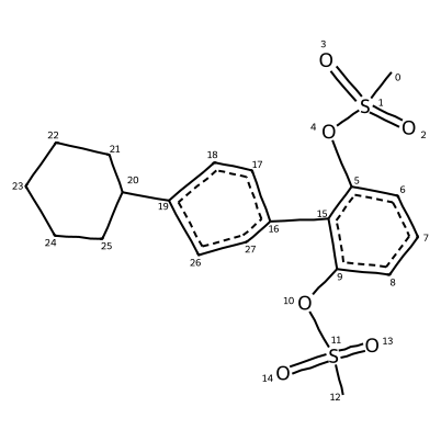 CS(=O)(=O)Oc1cccc(OS(C)(=O)=O)c1-c1ccc(C2CCCCC2)cc1